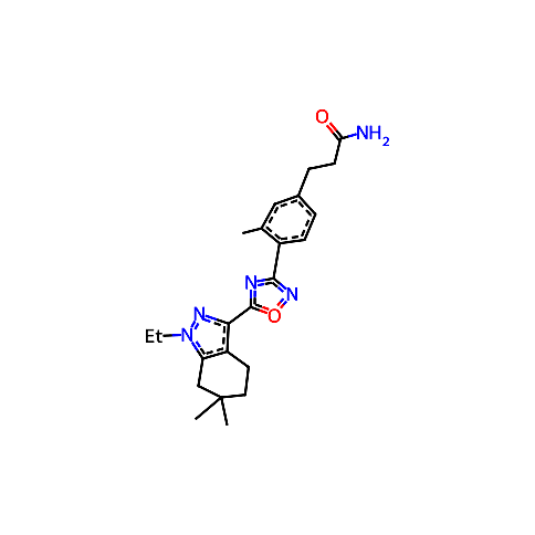 CCn1nc(-c2nc(-c3ccc(CCC(N)=O)cc3C)no2)c2c1CC(C)(C)CC2